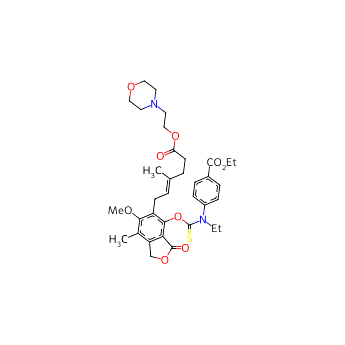 CCOC(=O)c1ccc(N(CC)C(=S)Oc2c(C/C=C(\C)CCC(=O)OCCN3CCOCC3)c(OC)c(C)c3c2C(=O)OC3)cc1